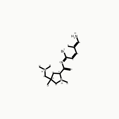 C=C(\N=C(Br)/C=C\C(C)=C\N)C1CC(C)(CN(C)C)CN1C